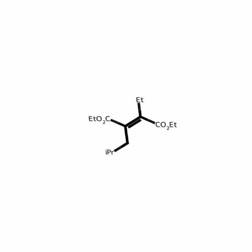 CCOC(=O)C(CC)=C(CC(C)C)C(=O)OCC